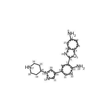 Nc1ccc2oc(-c3cc(-c4cnn(C5CCNCC5)c4)cnc3N)nc2c1